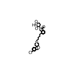 O=C1CCC(N2Cc3c(CCCCCN4CCC5(CC4)OCc4cc(Cl)ccc45)cccc3C2=O)C(=O)N1